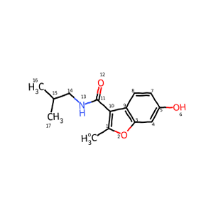 Cc1oc2cc(O)ccc2c1C(=O)NCC(C)C